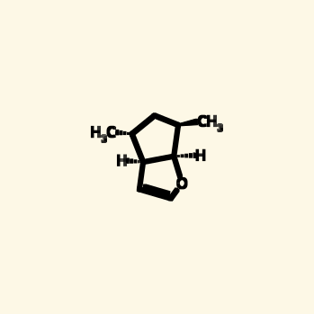 C[C@@H]1C[C@@H](C)[C@H]2OC=C[C@H]21